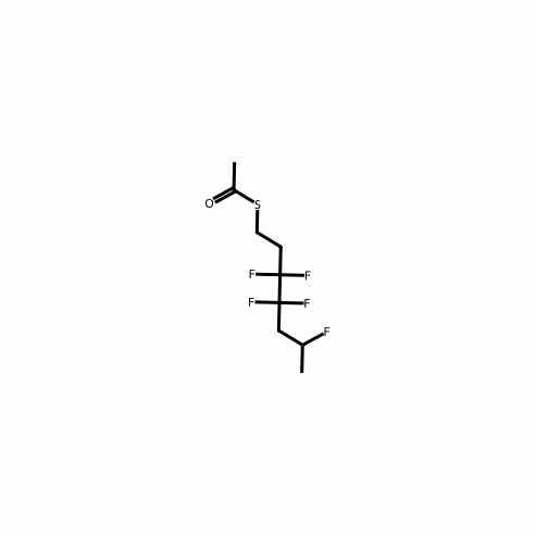 CC(=O)SCCC(F)(F)C(F)(F)CC(C)F